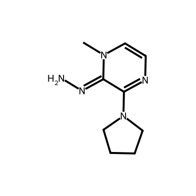 Cn1ccnc(N2CCCC2)c1=NN